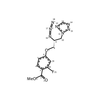 COC(=O)c1ccc(OC[C@@H](Cn2ncnn2)N=[N+]=[N-])cc1F